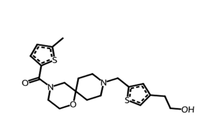 Cc1ccc(C(=O)N2CCOC3(CCN(Cc4cc(CCO)cs4)CC3)C2)s1